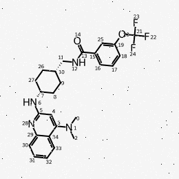 CN(C)c1cc(N[C@H]2CC[C@@H](CNC(=O)c3cccc(OC(F)(F)F)c3)CC2)nc2ccccc12